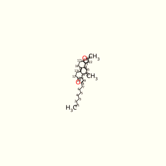 CCCCCCCCC1=CC2C(CCC3=C4CCc5oc(C)cc5C4=CC(C)C32)O1